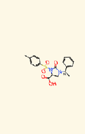 Cc1ccc(S(=O)(=O)N2C(=O)N([C@H](C)c3ccccc3)CC2C(=O)O)cc1